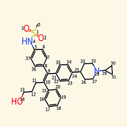 CS(=O)(=O)Nc1ccc(/C(=C(\CCCO)c2ccccc2)c2ccc(C3CCN(C4CC4)CC3)cc2)cc1